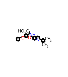 O=C(O)CC(NC(=O)c1ccc2nc(-c3cc(C(F)(F)F)cc(C(F)(F)F)c3)ccc2c1)c1ccc(OCc2ccccc2)cc1